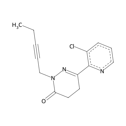 CCC#CCN1N=C(c2ncccc2Cl)CCC1=O